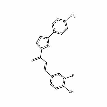 O=C(C=Cc1ccc(O)c(F)c1)c1ccc(-c2ccc(C(F)(F)F)cc2)s1